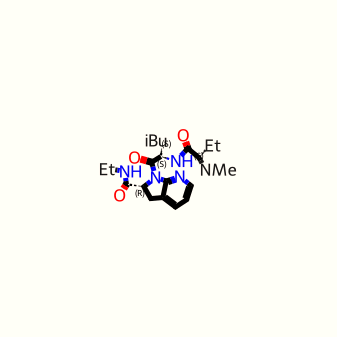 CCNC(=O)[C@H]1Cc2cccnc2N1C(=O)[C@@H](NC(=O)[C@H](CC)NC)[C@@H](C)CC